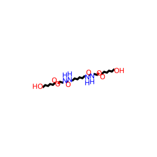 O=C(NCCCCCCNC(=O)NCCOC(=O)CCCCCO)NCCOC(=O)CCCCCO